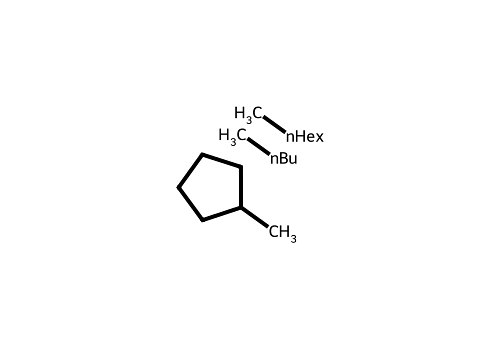 CC1CCCC1.CCCCC.CCCCCCC